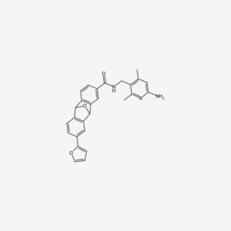 Cc1cc(N)nc(C)c1CNC(=O)c1ccc2c(c1)C1OC2c2ccc(-c3ccco3)cc21